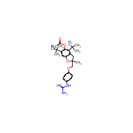 CC(=O)Oc1c(C(C)(C)C)cc2c(c1C(C)(C)C)CC(C)(COc1ccc(NC(=N)N)cc1)O2